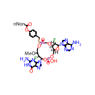 CCCCCCCCCC(=O)Oc1ccc(CSP2(=O)CO[C@H]3[C@@H](F)[C@H](n4cnc5c(N)ncnc54)O[C@@H]3COP(=O)(O)O[C@@H](n3cnc4c(=O)[nH]c(N)nc43)[C@H](F)[C@H](OC)CO2)cc1